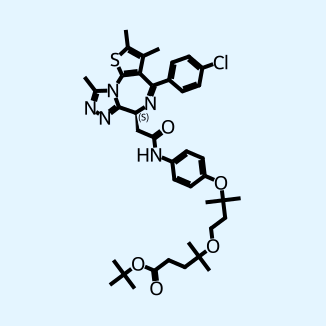 Cc1sc2c(c1C)C(c1ccc(Cl)cc1)=N[C@@H](CC(=O)Nc1ccc(OC(C)(C)CCOC(C)(C)CCC(=O)OC(C)(C)C)cc1)c1nnc(C)n1-2